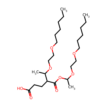 CCCCCCOCCOC(C)OC(=O)C(CCC(=O)O)C(C)OCCOCCCCCC